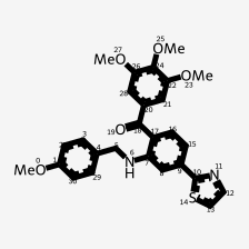 COc1ccc(CNc2cc(-c3nccs3)ccc2C(=O)c2cc(OC)c(OC)c(OC)c2)cc1